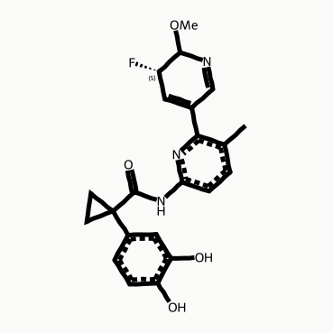 COC1N=CC(c2nc(NC(=O)C3(c4ccc(O)c(O)c4)CC3)ccc2C)=C[C@@H]1F